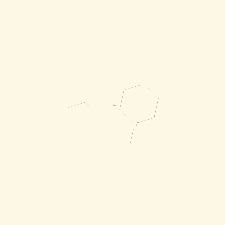 CCC[C@@H]1COCCN1C